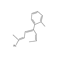 C/C=C\C(=C/C=C(C)C(C)=O)c1ccccc1C